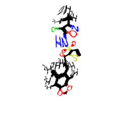 [2H]c1c2c(c([2H])c(C([2H])([2H])C(=O)c3sccc3S(=O)(=O)Nc3onc(C([2H])([2H])[2H])c3Cl)c1C([2H])([2H])[2H])OCO2